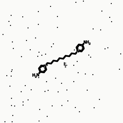 Nc1cc[n+](CCCCCCCCCC[n+]2ccc(N)cc2)cc1.[I-].[I-]